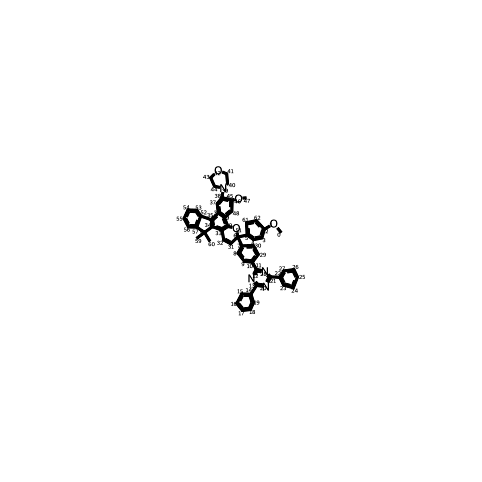 COc1ccc(C2(c3ccc(-c4nc(-c5ccccc5)nc(-c5ccccc5)n4)cc3)C=Cc3c4c(c5cc(N6CCOCC6)c(OC)cc5c3O2)-c2ccccc2C4(C)C)cc1